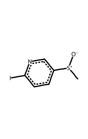 C[S+]([O-])c1ccc(I)nc1